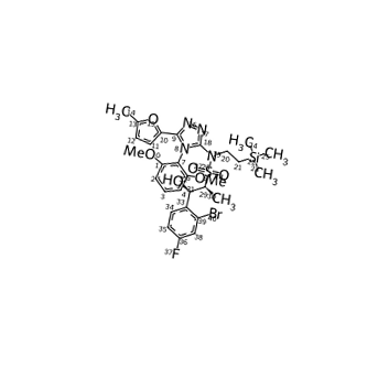 COc1cccc(OC)c1-n1c(-c2ccc(C)o2)nnc1N(CC[Si](C)(C)C)S(=O)(=O)[C@@H](C)[C@H](O)c1ccc(F)cc1Br